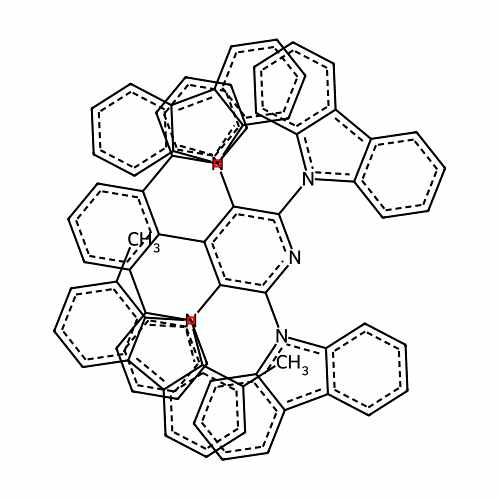 Cc1cccc2c3cccc(C)c3n(-c3c(-n4c5ccccc5c5ccccc54)nc(-n4c5ccccc5c5ccccc54)c(-n4c5ccccc5c5ccccc54)c3-c3c(-c4ccccc4)cccc3-c3ccccc3)c12